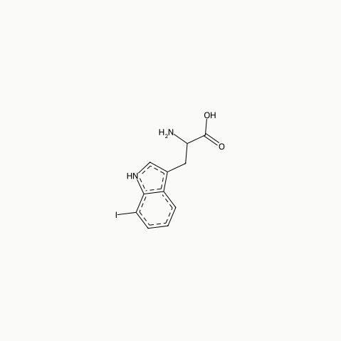 NC(Cc1c[nH]c2c(I)cccc12)C(=O)O